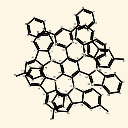 Cc1ccc2c(c1)c1ccccc1n2-c1c(-c2nc(-c3ccccc3)cc(-c3ccccc3)n2)c(-n2c3ccccc3c3cc(C)ccc32)c(-n2c3ccccc3c3cc(C)ccc32)c(-n2c3ccccc3c3cc(C)ccc32)c1-c1nc2ccccc2n1-c1ccccc1